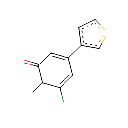 CC1C(=O)C=C(c2ccsc2)C=C1Cl